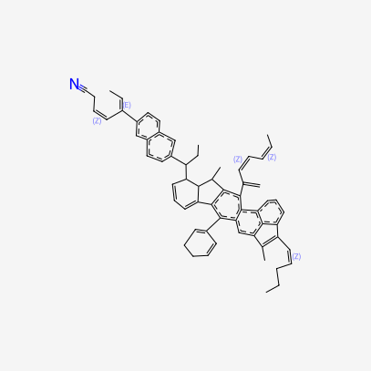 C=C(/C=C\C=C/C)c1c2c(c(C3=CCCC=C3)c3cc4c5c(cccc5c13)C(/C=C\CCC)=C4C)C1=CC=CC(C(CC)c3ccc4cc(C(/C=C\CC#N)=C/C)ccc4c3)C1C2C